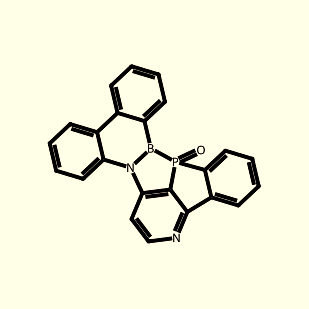 O=P12B3c4ccccc4-c4ccccc4N3c3ccnc(c31)-c1ccccc12